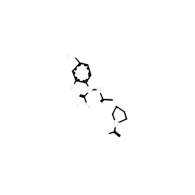 CCC(=O)N1CC[C@@H](CC(=O)NN(C(N)=O)c2ccc(Br)cc2F)C1